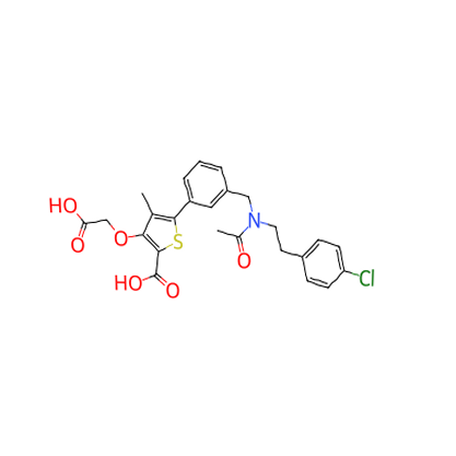 CC(=O)N(CCc1ccc(Cl)cc1)Cc1cccc(-c2sc(C(=O)O)c(OCC(=O)O)c2C)c1